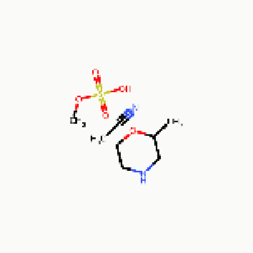 CC#N.CC1CNCCO1.COS(=O)(=O)O